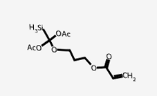 C=CC(=O)OCCCOC([SiH3])(OC(C)=O)OC(C)=O